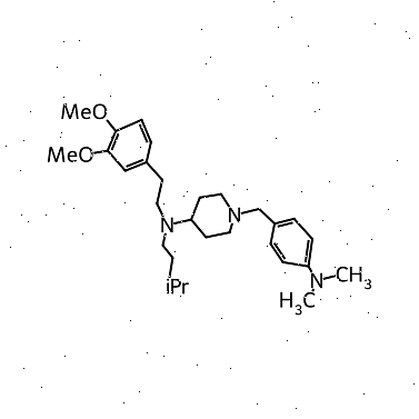 COc1ccc(CCN(CCC(C)C)C2CCN(Cc3ccc(N(C)C)cc3)CC2)cc1OC